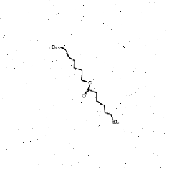 CCCCCCCCCCCCCCCCOC(=O)CCCCCC(C)(C)C